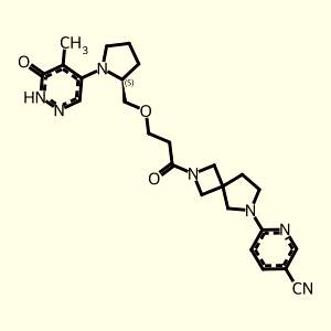 Cc1c(N2CCC[C@H]2COCCC(=O)N2CC3(CCN(c4ccc(C#N)cn4)C3)C2)cn[nH]c1=O